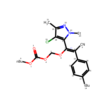 CCCCOC(=O)OCO/C(=C(/C#N)c1ccc(C(C)(C)C)cc1)c1c(Cl)c(C)nn1CC